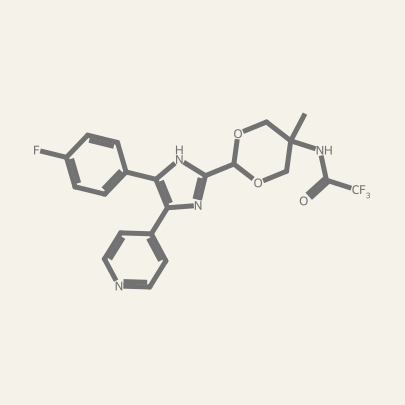 CC1(NC(=O)C(F)(F)F)COC(c2nc(-c3ccncc3)c(-c3ccc(F)cc3)[nH]2)OC1